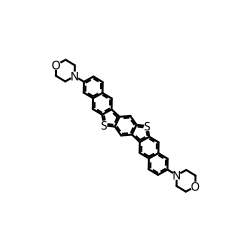 c1cc2cc3c(cc2cc1N1CCOCC1)sc1cc2c(cc13)sc1cc3cc(N4CCOCC4)ccc3cc12